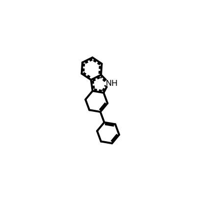 C1=CCCC(C2=Cc3[nH]c4ccccc4c3CC2)=C1